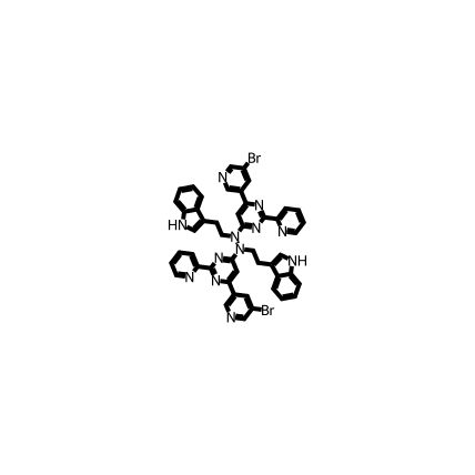 Brc1cncc(-c2cc(N(CCc3c[nH]c4ccccc34)N(CCc3c[nH]c4ccccc34)c3cc(-c4cncc(Br)c4)nc(-c4ccccn4)n3)nc(-c3ccccn3)n2)c1